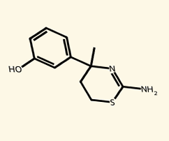 CC1(c2cccc(O)c2)CCSC(N)=N1